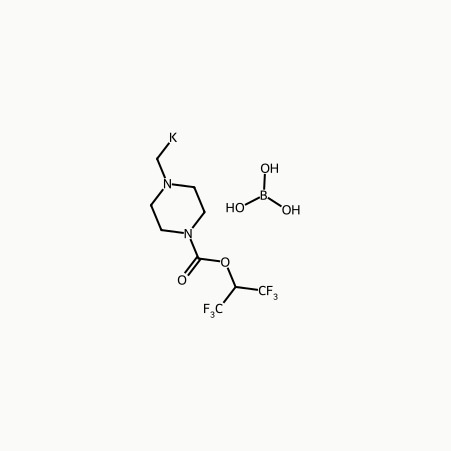 O=C(OC(C(F)(F)F)C(F)(F)F)N1CCN([CH2][K])CC1.OB(O)O